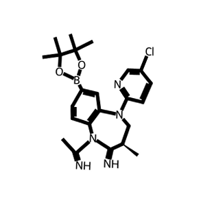 CC(=N)N1C(=N)[C@H](C)CN(c2ccc(Cl)cn2)c2cc(B3OC(C)(C)C(C)(C)O3)ccc21